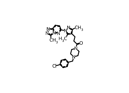 Cc1nn(-c2ccc3nnc(C)n3n2)c(C)c1CCC(=O)N1CCN(Cc2ccc(Cl)cc2)CC1